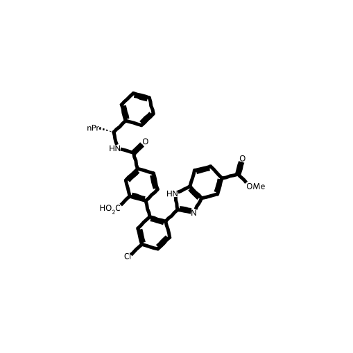 CCC[C@@H](NC(=O)c1ccc(-c2cc(Cl)ccc2-c2nc3cc(C(=O)OC)ccc3[nH]2)c(C(=O)O)c1)c1ccccc1